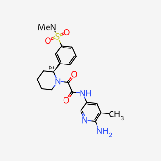 CNS(=O)(=O)c1cccc([C@@H]2CCCCN2C(=O)C(=O)Nc2cnc(N)c(C)c2)c1